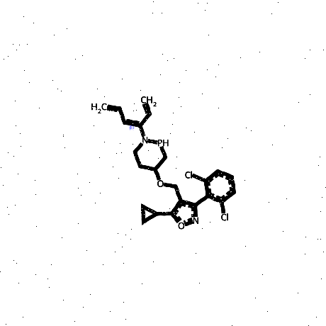 C=C/C=C(\C=C)N1CCC(OCc2c(-c3c(Cl)cccc3Cl)noc2C2CC2)CP1